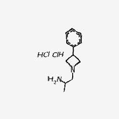 CC(N)CN1CC(c2ccccc2)C1.Cl.Cl